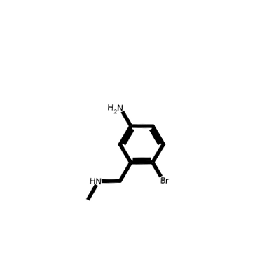 CNCc1cc(N)ccc1Br